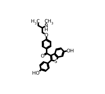 CCC(COc1ccc(C(=O)c2c(-c3ccc(O)cc3)sc3cc(O)ccc23)cc1)NC